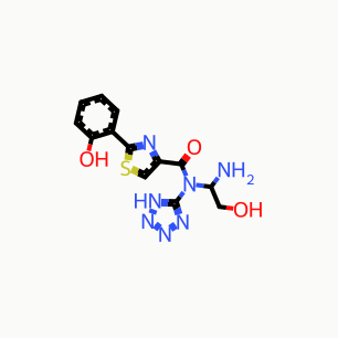 NC(CO)N(C(=O)c1csc(-c2ccccc2O)n1)c1nnn[nH]1